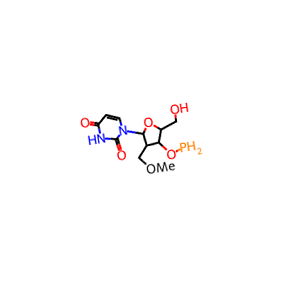 COCC1C(OP)C(CO)OC1n1ccc(=O)[nH]c1=O